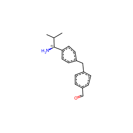 CC(C)[C@H](N)c1ccc(Cc2ccc(C=O)cc2)cc1